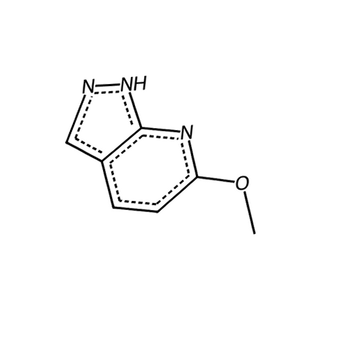 COc1ccc2cn[nH]c2n1